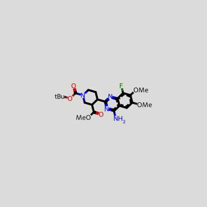 COC(=O)C1CN(C(=O)OC(C)(C)C)CCC1c1nc(N)c2cc(OC)c(OC)c(F)c2n1